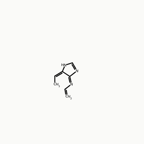 C=C/N=C1/N=CN/C1=C/C